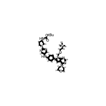 CC(C)(C)OC(=O)N[C@H]1CCN(c2ncc(Nc3ccc(-c4cc5c(N6CCOCC6)ncnc5n4COCC[Si](C)(C)C)cc3)cn2)C1